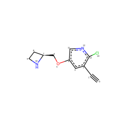 C#Cc1cc(OC[C@@H]2CCN2)cnc1Cl